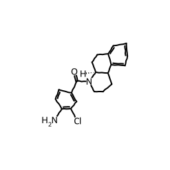 Nc1ccc(C(=O)N2CCCC3c4ccccc4CC[C@@H]32)cc1Cl